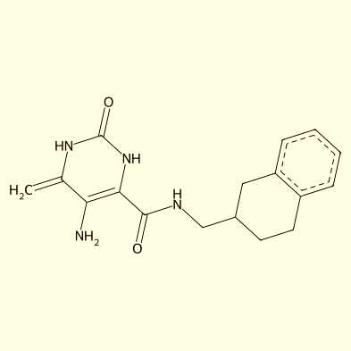 C=C1NC(=O)NC(C(=O)NCC2CCc3ccccc3C2)=C1N